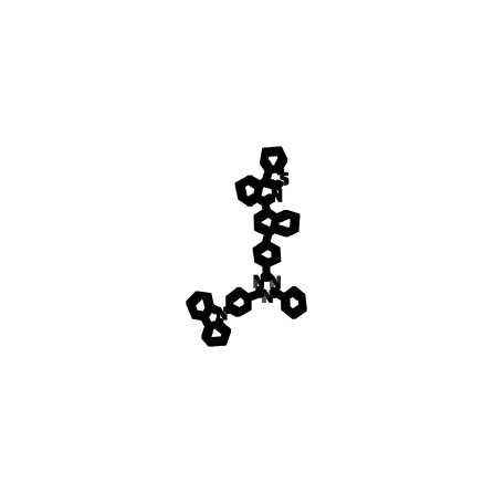 C1=CC(c2nc(-c3ccccc3)nc(-c3ccc(-c4ccc(-c5nc6sc7ccccc7c6c6ccccc56)c5ccccc45)cc3)n2)CC=C1n1c2ccccc2c2ccccc21